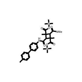 CNC(=O)C1C(C)(C(=O)O[Si](C)(C)C)C(C(=O)Nc2ccc(-c3ccc(C)cc3)cc2)C1(C)C(=O)O[Si](C)(C)C